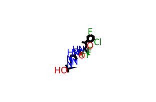 Cc1c([C@@H](NC(=O)Nc2cnc(N3CC(C)(O)C3)nc2)C(F)(F)F)oc2c(Cl)cc(F)cc12